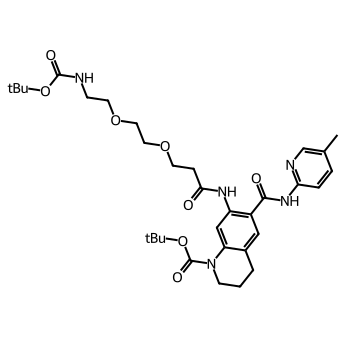 Cc1ccc(NC(=O)c2cc3c(cc2NC(=O)CCOCCOCCNC(=O)OC(C)(C)C)N(C(=O)OC(C)(C)C)CCC3)nc1